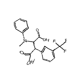 CN(c1ccccc1)C(C(=O)O)C(C(=O)O)c1cccc(C(F)(F)F)c1